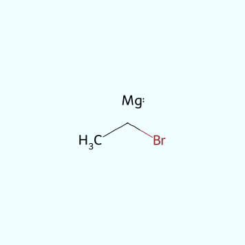 CCBr.[Mg]